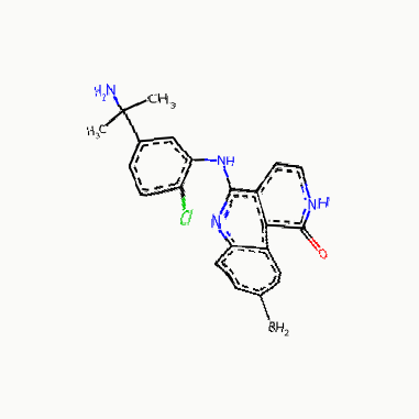 Bc1ccc2nc(Nc3cc(C(C)(C)N)ccc3Cl)c3cc[nH]c(=O)c3c2c1